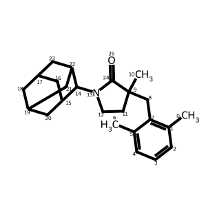 Cc1cccc(C)c1CC1(C)CCN(C2C3CC4CC(C3)CC2C4)C1=O